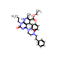 CCCn1c2c(c(N3CCN(CCc4ccccc4)CC3)nc1=O)C(c1ccccc1)C(C(=O)OCC)=C(C)N2